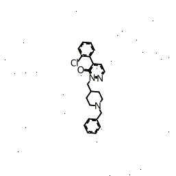 O=c1c(-c2ccccc2Cl)ccnn1CC1CCN(Cc2ccccc2)CC1